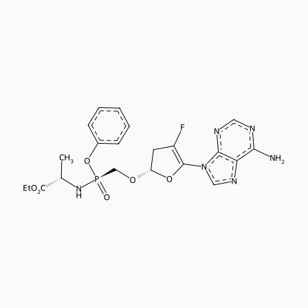 CCOC(=O)[C@H](C)N[P@](=O)(CO[C@@H]1CC(F)=C(n2cnc3c(N)ncnc32)O1)Oc1ccccc1